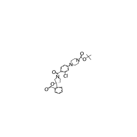 CC(C)(C)OC(=O)N1CCN(c2ccc(C(=O)N3CC[C@@]4(C3)OC(=O)c3ccccc34)c(Cl)c2)CC1